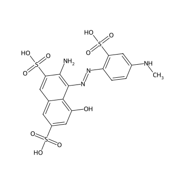 CNc1ccc(/N=N/c2c(N)c(S(=O)(=O)O)cc3cc(S(=O)(=O)O)cc(O)c23)c(S(=O)(=O)O)c1